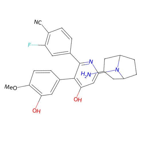 COc1ccc(-c2c(O)cc(N3C4CCC3CC(N)C4)nc2-c2ccc(C#N)c(F)c2)cc1O